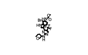 COC(=O)Nc1ccc2c(-c3nc(NC4CCCOC4)ncc3C(F)(F)F)c[nH]c2c1Br